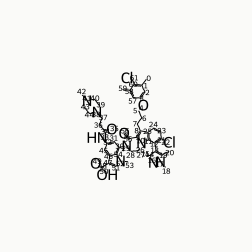 Cc1cc(OCCCc2c3n(c4c(-c5c(C)nn(C)c5C)c(Cl)ccc24)[C@H](C)CN(c2cc(NC(=O)CCN4CCN(C)CC4)cc4c(C(=O)O)cn(C)c24)C3=O)cc(C)c1Cl